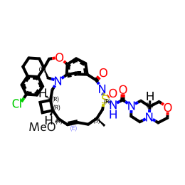 CO[C@H]1/C=C/C[C@H](C)C[S@@](=O)(NC(=O)N2CCN3CCOC[C@H]3C2)=NC(=O)c2ccc3c(c2)N(C[C@@H]2CC[C@H]21)C[C@@]1(CCCc2cc(Cl)ccc21)CO3